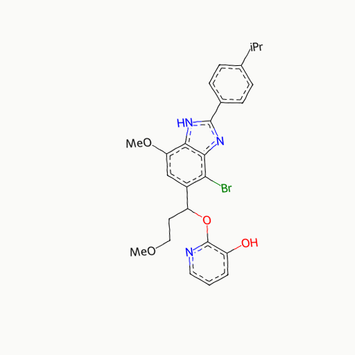 COCCC(Oc1ncccc1O)c1cc(OC)c2[nH]c(-c3ccc(C(C)C)cc3)nc2c1Br